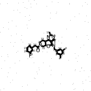 Cc1cc(C)cc(CNC(=O)c2cnc(C)nc2C2CCN(C(=O)Cc3cccc(F)c3)CC2)c1